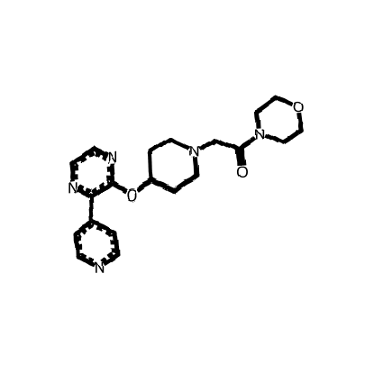 O=C(CN1CCC(Oc2nccnc2-c2ccncc2)CC1)N1CCOCC1